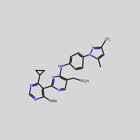 COc1ncnc(C2CC2)c1-c1ncc(CS(=O)(=O)O)c(Nc2ccc(-n3nc(C(F)(F)F)cc3C)cc2)n1